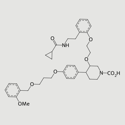 COc1ccccc1COCCCOc1ccc(C2CCN(C(=O)O)CC2OCCOc2ccccc2CCNC(=O)C2CC2)cc1